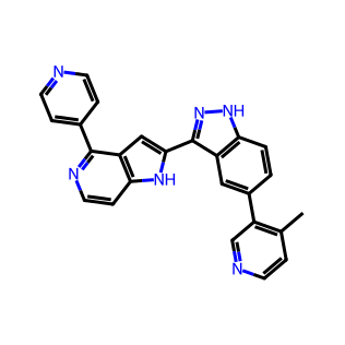 Cc1ccncc1-c1ccc2[nH]nc(-c3cc4c(-c5ccncc5)nccc4[nH]3)c2c1